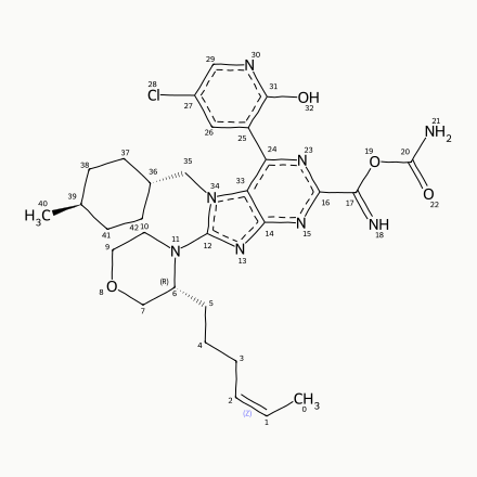 C/C=C\CCC[C@@H]1COCCN1c1nc2nc(C(=N)OC(N)=O)nc(-c3cc(Cl)cnc3O)c2n1C[C@H]1CC[C@H](C)CC1